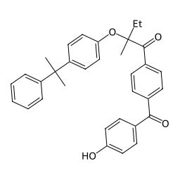 CCC(C)(Oc1ccc(C(C)(C)c2ccccc2)cc1)C(=O)c1ccc(C(=O)c2ccc(O)cc2)cc1